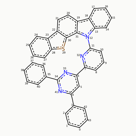 c1ccc(-c2cc(-c3cccc(-n4c5ccccc5c5ccc6c7ccccc7sc6c54)n3)nc(-c3ccccc3)n2)cc1